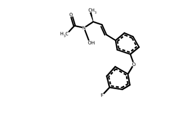 CC(=O)N(O)[C@@H](C)/C=C/c1cccc(Oc2ccc(F)cc2)c1